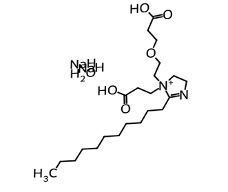 CCCCCCCCCCCC1=NCC[N+]1(CCOCCC(=O)O)CCC(=O)O.O.[NaH].[NaH]